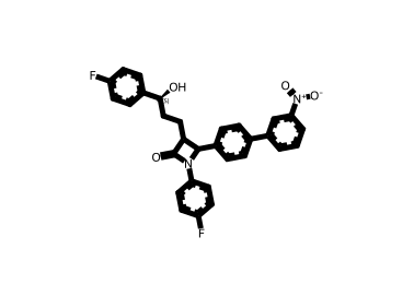 O=C1C(CC[C@H](O)c2ccc(F)cc2)C(c2ccc(-c3cccc([N+](=O)[O-])c3)cc2)N1c1ccc(F)cc1